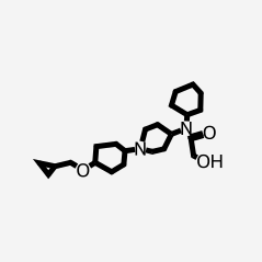 O=C(CO)N(C1CCCCC1)C1CCN(C2CCC(OCC3CC3)CC2)CC1